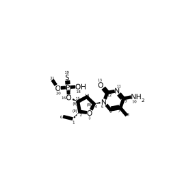 CC[C@H]1O[C@@H](n2cc(C)c(N)nc2=O)C[C@H]1OP(O)(=S)OC